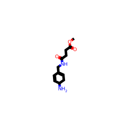 COC(=O)CCC(=O)NCC1=CCC(N)C=C1